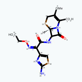 COC1=C(C(=O)O)N2C(=O)C(NC(=O)/C(=N\OCC(=O)O)c3csc(N)n3)[C@H]2SC1